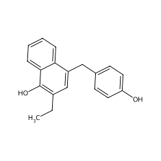 CCc1cc(Cc2ccc(O)cc2)c2ccccc2c1O